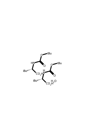 CCC(C)[C@H](NC(=O)OC(C)(C)C)C(=O)O.CCC(C)[C@H](NC(=O)OC(C)(C)C)C(=O)O.O